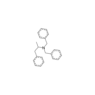 CC(Cc1ccccc1)N(Cc1ccccc1)Cc1ccccc1